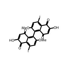 COc1cc(I)c2c(c1-c1c(OC)cc(I)c3c1C(=O)C=C(O)C3=O)C(=O)C=C(O)C2=O